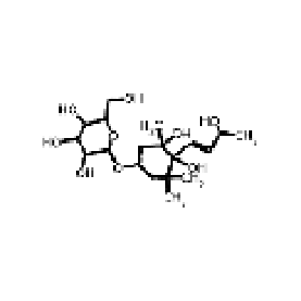 CC(O)C=CC1(O)C(C)(C)CC(OC2OC(CO)C(O)C(O)C2O)CC1(C)O